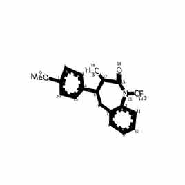 COc1ccc(C2Cc3ccccc3N(C(F)(F)F)C(=O)C2C)cc1